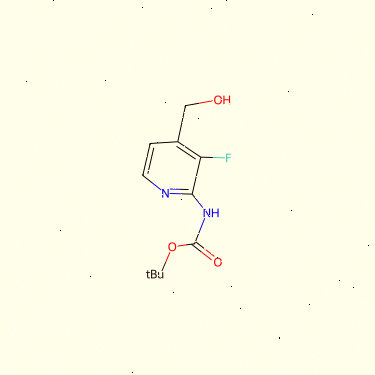 CC(C)(C)OC(=O)Nc1nccc(CO)c1F